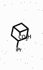 CC(C)C1CC2CC(C1)C2C(=O)O